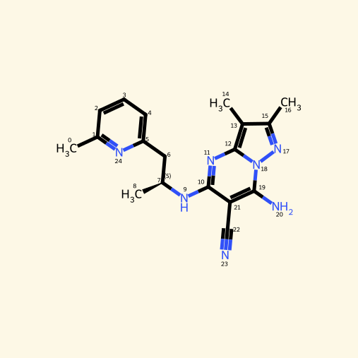 Cc1cccc(C[C@H](C)Nc2nc3c(C)c(C)nn3c(N)c2C#N)n1